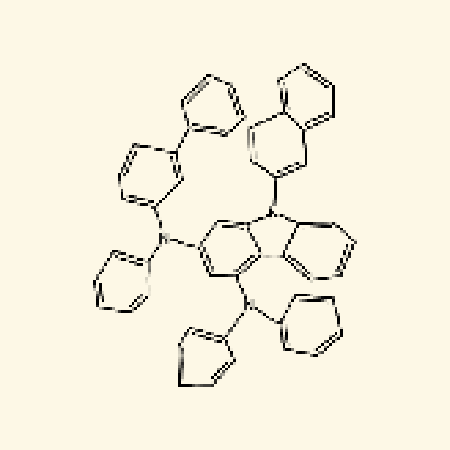 c1ccc(-c2cccc(N(c3ccccc3)c3cc(N(c4ccccc4)c4ccccc4)c4c5ccccc5n(-c5ccc6ccccc6c5)c4c3)c2)cc1